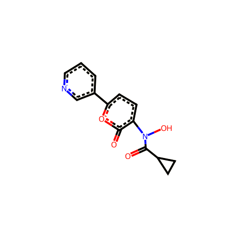 O=C(C1CC1)N(O)c1ccc(-c2cccnc2)oc1=O